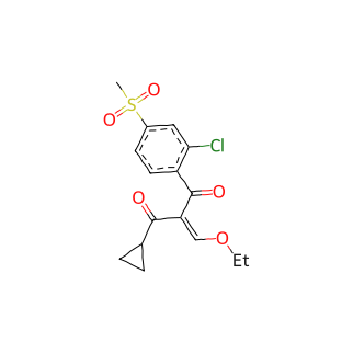 CCO/C=C(\C(=O)c1ccc(S(C)(=O)=O)cc1Cl)C(=O)C1CC1